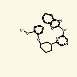 CCOc1ccccc1OC1CCCN(c2cncc(Nc3nc4ccccc4s3)n2)C1